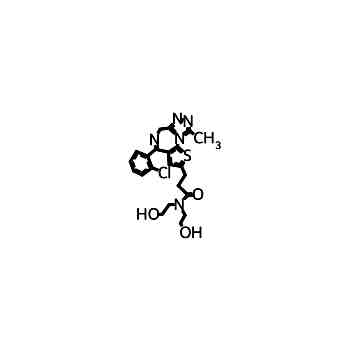 Cc1nnc2n1-c1sc(CCC(=O)N(CCO)CCO)cc1C(c1ccccc1Cl)=NC2